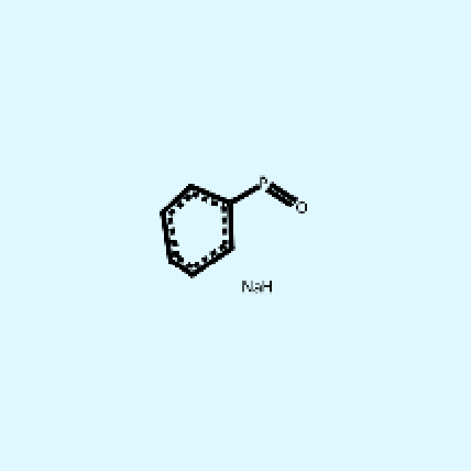 O=Pc1ccccc1.[NaH]